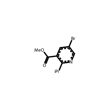 COC(=O)c1cc(Br)cnc1C(C)C